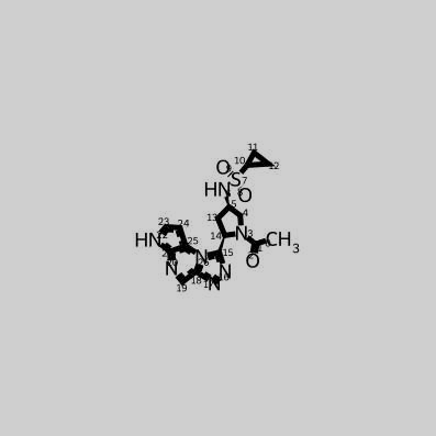 CC(=O)N1C[C@H](NS(=O)(=O)C2CC2)C[C@@H]1c1nnc2cnc3[nH]ccc3n12